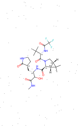 CNC(=O)C(O)[C@H](C[C@@H]1CCNC1=O)NC(=O)[C@@H]1[C@@H]2[C@H](CN1C(=O)[C@@H](NC(=O)C(F)(F)F)C(C)(C)C)C2(C)C